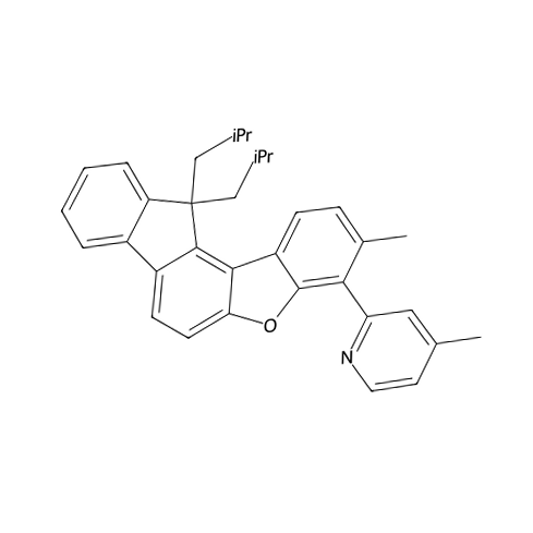 Cc1ccnc(-c2c(C)ccc3c2oc2ccc4c(c23)C(CC(C)C)(CC(C)C)c2ccccc2-4)c1